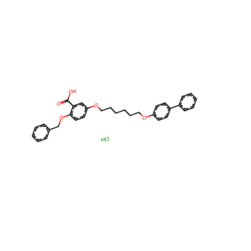 Cl.O=C(O)c1cc(OCCCCCCOc2ccc(-c3ccccc3)cc2)ccc1OCc1ccccc1